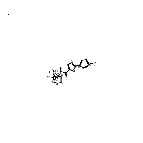 C[C@H]1[C@H](NC(=O)c2cnc(-c3ccc(Br)cc3)s2)C2CCN1CC2